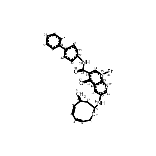 C=C1/C=C\C=C/CCC(Nc2cnc3c(c2)c(=O)c(C(=O)Nc2ccc(-c4ccccc4)cc2)cn3CC)C1